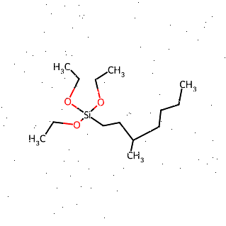 CCCCC(C)CC[Si](OCC)(OCC)OCC